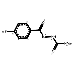 CNC(=O)NNC(=O)c1ccc(F)cc1